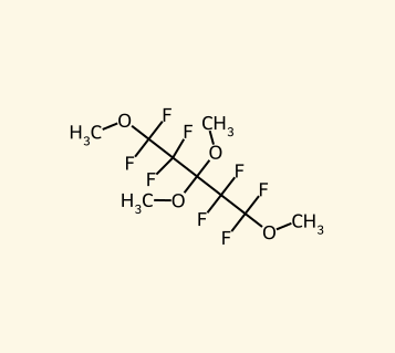 COC(F)(F)C(F)(F)C(OC)(OC)C(F)(F)C(F)(F)OC